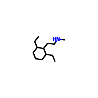 CCC1CCCC(CC)C1CCNC